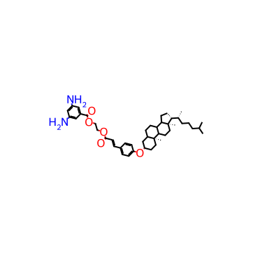 CC(C)CCC[C@@H](C)[C@H]1CCC2C3CCC4CC(Oc5ccc(C=CC(=O)OCCOC(=O)c6cc(N)cc(N)c6)cc5)CC[C@]4(C)C3CC[C@@]21C